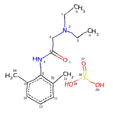 CCN(CC)CC(=O)Nc1c(C)cccc1C.O=S(O)O